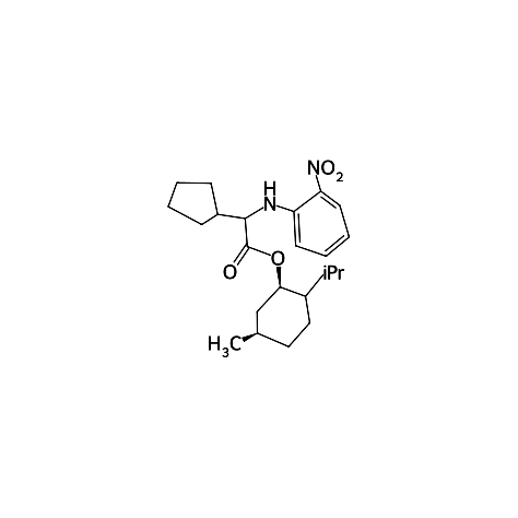 CC(C)C1CC[C@@H](C)C[C@H]1OC(=O)C(Nc1ccccc1[N+](=O)[O-])C1CCCC1